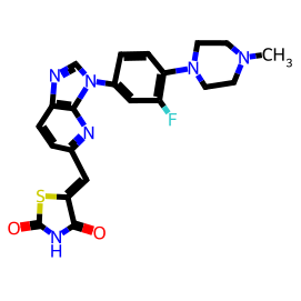 CN1CCN(c2ccc(-n3cnc4ccc(/C=C5\SC(=O)NC5=O)nc43)cc2F)CC1